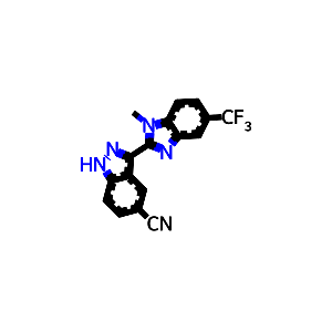 Cn1c(-c2n[nH]c3ccc(C#N)cc23)nc2cc(C(F)(F)F)ccc21